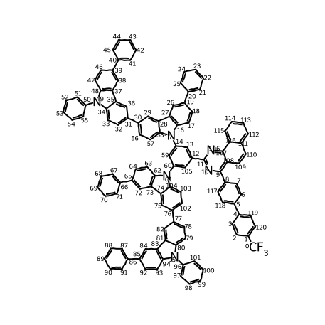 FC(F)(F)c1ccc(-c2ccc(-c3nc(-c4cc(-n5c6ccc(-c7ccccc7)cc6c6cc(-c7ccc8c(c7)c7cc(-c9ccccc9)ccc7n8-c7ccccc7)ccc65)cc(-n5c6ccc(-c7ccccc7)cc6c6cc(-c7ccc8c(c7)c7cc(-c9ccccc9)ccc7n8-c7ccccc7)ccc65)c4)nc4c3ccc3ccccc34)cc2)cc1